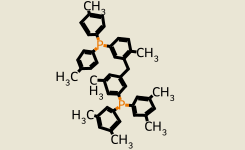 Cc1ccc(P(c2ccc(C)cc2)c2ccc(C)c(Cc3cc(C)cc(P(c4cc(C)cc(C)c4)c4cc(C)cc(C)c4)c3)c2)cc1